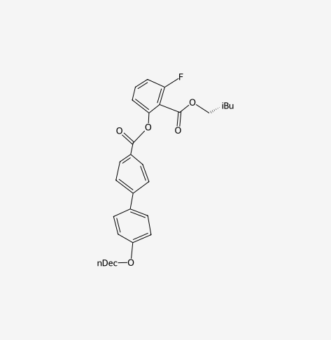 CCCCCCCCCCOc1ccc(-c2ccc(C(=O)Oc3cccc(F)c3C(=O)OC[C@@H](C)CC)cc2)cc1